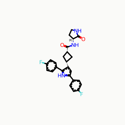 O=C1NCC[C@H]1NC(=O)[C@H]1C[C@@H](c2cc(-c3ccc(F)cc3)[nH]c2-c2ccc(F)cc2)C1